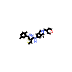 Cc1ccc(C)c(-c2nnc(N[C@@H]3CC4CN(CC5CCOCC5)C[C@H]4C3)c3ccsc23)c1